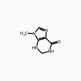 Cn1cnc2c1NCNC2=O